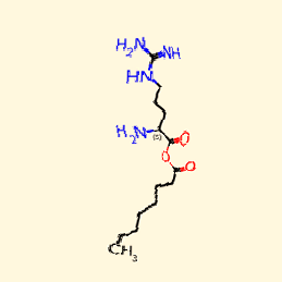 CCCCCCCC(=O)OC(=O)[C@@H](N)CCCNC(=N)N